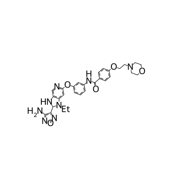 CCN1c2cc(Oc3cccc(NC(=O)c4ccc(OCCN5CCOCC5)cc4)c3)ncc2NC1c1nonc1N